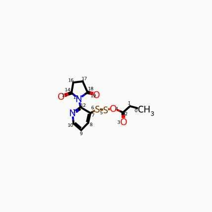 CCC(=O)OSSc1cccnc1N1C(=O)CCC1=O